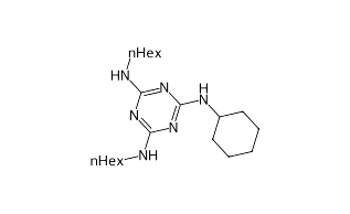 CCCCCCNc1nc(NCCCCCC)nc(NC2CCCCC2)n1